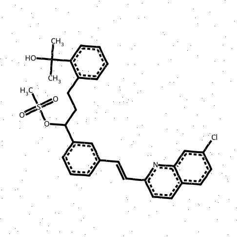 CC(C)(O)c1ccccc1CCC(OS(C)(=O)=O)c1cccc(C=Cc2ccc3ccc(Cl)cc3n2)c1